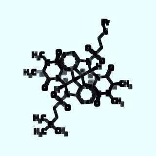 CC(C)SCCS(=O)(=O)N1c2ccccc2[C@@]2(C34C[C@@]56SS[C@@](C)(C(=O)N5[C@H]3N(S(=O)(=O)CC[Si](C)(C)C)c3ccccc34)N(C)C6=O)C[C@@]34SS[C@@](C)(C(=O)N3[C@@H]12)N(C)C4=O